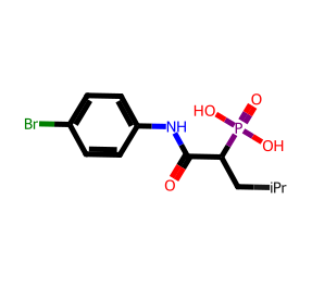 CC(C)CC(C(=O)Nc1ccc(Br)cc1)P(=O)(O)O